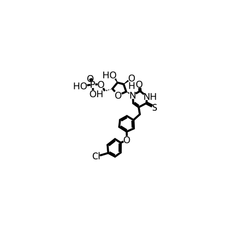 O=c1[nH]c(=S)c(Cc2cccc(Oc3ccc(Cl)cc3)c2)cn1[C@@H]1O[C@H](COP(=O)(O)O)[C@@H](O)[C@H]1O